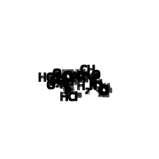 CC1(CNC(=O)C(N)Cc2ccccc2)CCN(C2=CCc3c(n(C4CC4)cc(C(=O)O)c3=O)C2(F)F)C1.Cl